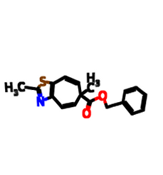 Cc1nc2c(s1)C=CC(C)(C(=O)OCc1ccccc1)C=C2